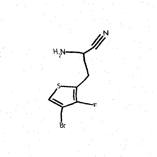 N#CC(N)Cc1scc(Br)c1F